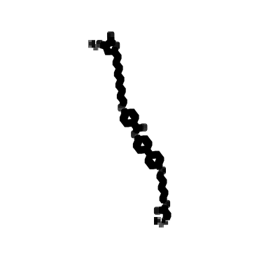 C=CC(=O)OCCCCCOc1ccc(-c2ccc(OC(=O)c3ccc(OCCCCCCCCCC4CC(=C)C(=O)O4)cc3)cc2)cc1